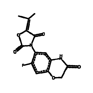 CC(C)=C1OC(=O)N(c2cc3c(cc2F)OCC(=O)N3)C1=O